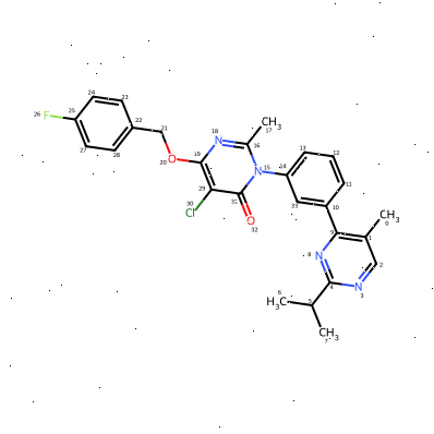 Cc1cnc(C(C)C)nc1-c1cccc(-n2c(C)nc(OCc3ccc(F)cc3)c(Cl)c2=O)c1